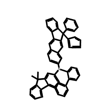 CC1(C)c2ccccc2-c2ccc(N(c3ccc4cc5c(cc4c3)C(c3ccccc3)(c3ccccc3)c3ccccc3-5)c3ccccc3-c3ccccc3)cc21